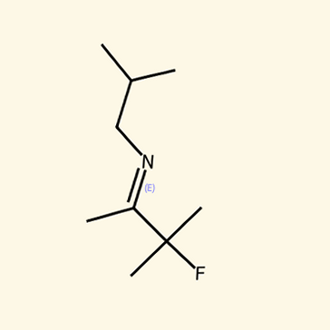 C/C(=N\CC(C)C)C(C)(C)F